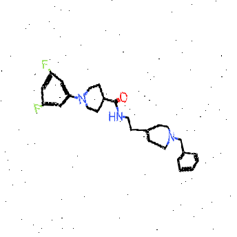 O=C(NCCC1CCN(Cc2ccccc2)CC1)C1CCN(c2cc(F)cc(F)c2)CC1